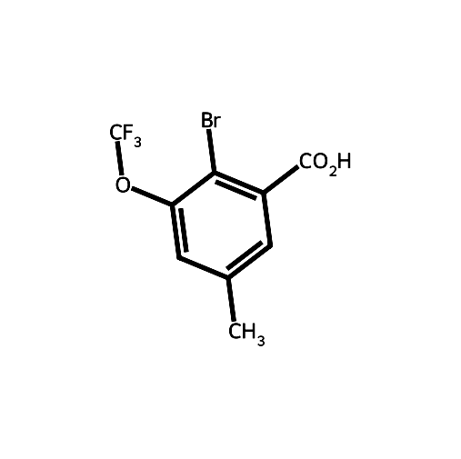 Cc1cc(OC(F)(F)F)c(Br)c(C(=O)O)c1